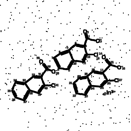 O=C([O-])c1cc2ccccc2cc1Cl.O=C([O-])c1cc2ccccc2cc1Cl.O=C([O-])c1cc2ccccc2cc1Cl.[In+3]